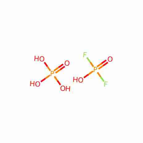 O=P(O)(F)F.O=P(O)(O)O